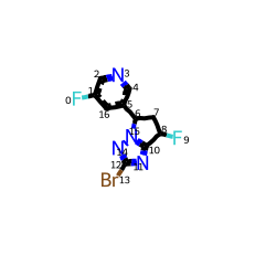 Fc1cncc(C2CC(F)c3nc(Br)nn32)c1